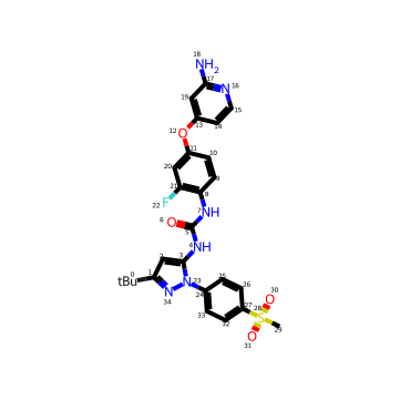 CC(C)(C)c1cc(NC(=O)Nc2ccc(Oc3ccnc(N)c3)cc2F)n(-c2ccc(S(C)(=O)=O)cc2)n1